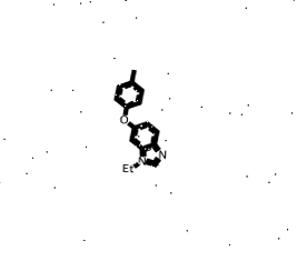 CCn1[c]nc2ccc(Oc3ccc(C)cc3)cc21